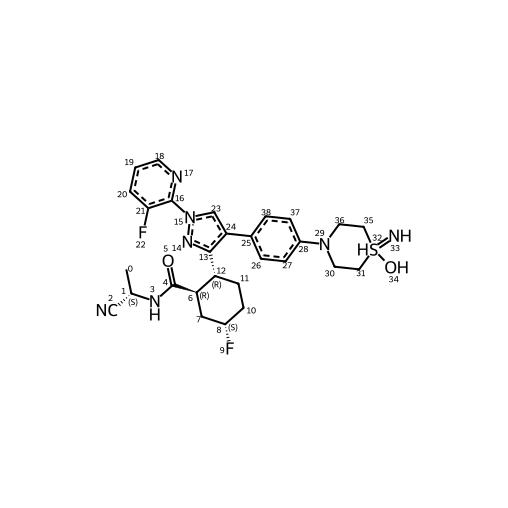 C[C@@H](C#N)NC(=O)[C@@H]1C[C@@H](F)CC[C@H]1c1nn(-c2ncccc2F)cc1-c1ccc(N2CC[SH](=N)(O)CC2)cc1